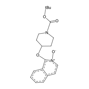 CC(C)(C)OC(=O)N1CCC(Oc2c3ccccc3cc[n+]2[O-])CC1